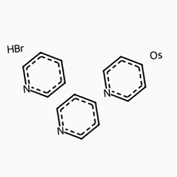 Br.[Os].c1ccncc1.c1ccncc1.c1ccncc1